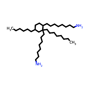 CCCCCCCCC1(CCCCCCCCN)CC(CCCCCC)CCC1CCCCCCCCN